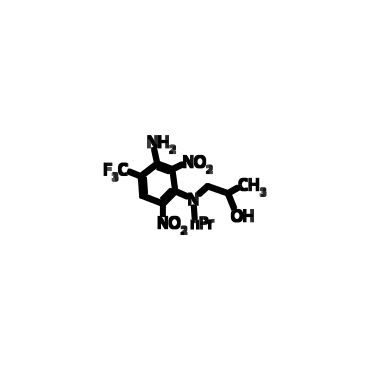 CCCN(CC(C)O)c1c([N+](=O)[O-])cc(C(F)(F)F)c(N)c1[N+](=O)[O-]